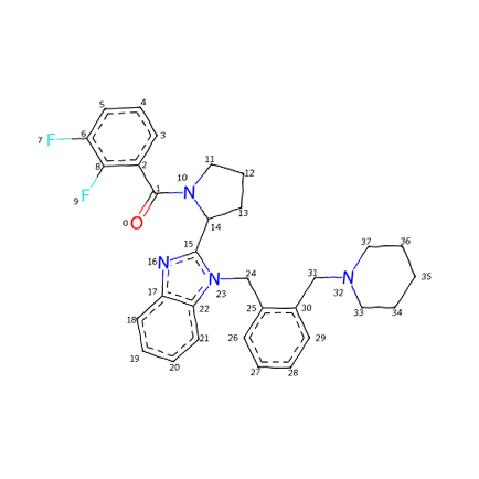 O=C(c1cccc(F)c1F)N1CCCC1c1nc2ccccc2n1Cc1ccccc1CN1CCCCC1